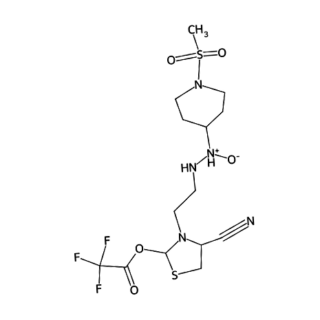 CS(=O)(=O)N1CCC([NH+]([O-])NCCN2C(C#N)CSC2OC(=O)C(F)(F)F)CC1